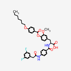 CCCCCCCOc1ccc(C(=O)Oc2ccc(CC(NC(=O)c3ccc(NC(=O)Cc4cc(F)cc(F)c4)cc3)C(=O)O)cc2OC)cc1